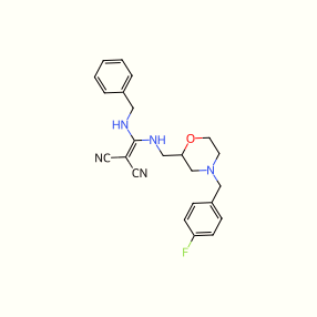 N#CC(C#N)=C(NCc1ccccc1)NCC1CN(Cc2ccc(F)cc2)CCO1